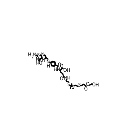 CC(C)(SCCNC(=O)CCC(NC(=O)c1ccc(NCc2cnc3nc(N)[nH]c(=O)c3n2)cc1)C(=O)O)SCCSCCC(=O)OCCO